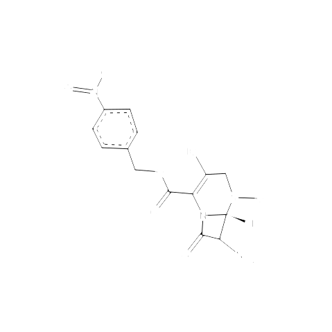 NC1C(=O)N2C(C(=O)OCc3ccc([N+](=O)[O-])cc3)=C(O)C[S+]([O-])[C@H]12